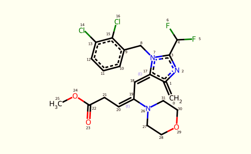 C=c1nc(C(F)F)n(Cc2cccc(Cl)c2Cl)/c1=C/C(=C\CC(=O)OC)N1CCOCC1